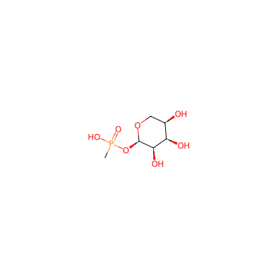 CP(=O)(O)O[C@H]1OC[C@@H](O)[C@@H](O)[C@H]1O